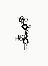 O=C1O[C@@H](I)CN1c1ccc(OCC[C@@]2(O)CCNC[C@@H]2O)c(F)c1